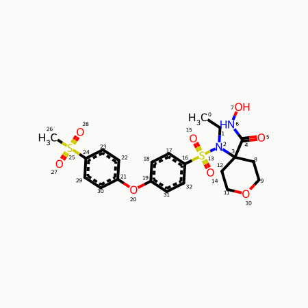 CCN(C1(C(=O)NO)CCOCC1)S(=O)(=O)c1ccc(Oc2ccc(S(C)(=O)=O)cc2)cc1